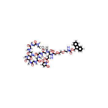 CN(CC(=O)O)C(=O)CN(C)C(=O)CN(C)C(=O)CN(C)C(=O)CN(C)C(=O)CN(C)C(=O)CN(C)C(=O)CN(C)C(=O)CN(C)C(=O)CN(C)C(=O)[C@H](CCC(=O)ON1C(=O)CCC1=O)NC(=O)COCCOCCNC(=O)OCC1c2ccccc2-c2ccccc21